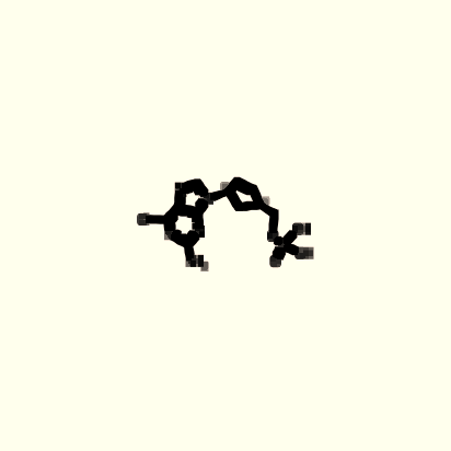 Nc1nc(Cl)c2ncn([C@H]3C=C[C@@H](COP(=O)(O)O)C3)c2n1